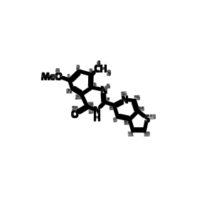 COc1cc(C)c2nc(-c3cc4ccsc4cn3)[nH]c(=O)c2c1